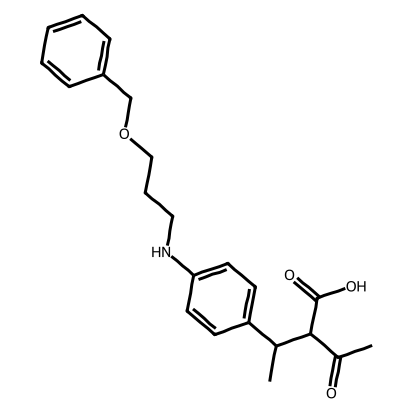 CC(=O)C(C(=O)O)C(C)c1ccc(NCCCOCc2ccccc2)cc1